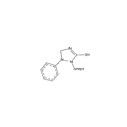 CCCCCCCN1C(S)=NCN1c1ccccc1